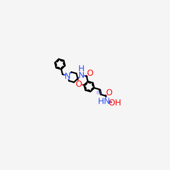 O=C(/C=C/c1ccc2c(c1)C(=O)NC1(CCN(Cc3ccccc3)CC1)O2)NO